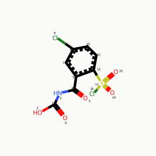 O=C(O)NC(=O)c1cc(Cl)ccc1S(=O)(=O)Cl